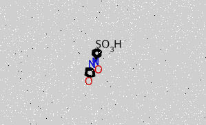 O=C1CC=C(N=Nc2ccc(S(=O)(=O)O)cc2)C(=O)C1